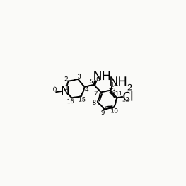 CN1CCC(C(=N)c2cccc(Cl)c2N)CC1